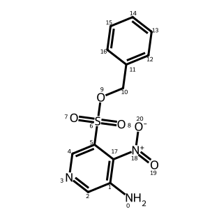 Nc1cncc(S(=O)(=O)OCc2ccccc2)c1[N+](=O)[O-]